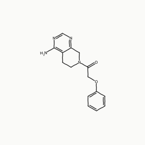 Nc1ncnc2c1CCN(C(=O)COc1ccccc1)C2